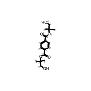 CC(C)(CO)OC(=O)c1ccc(C(=O)OC(C)(C)CO)cc1